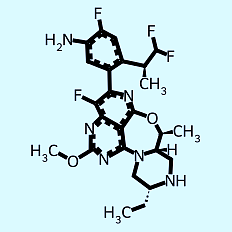 CC[C@@H]1CN2c3nc(OC)nc4c(F)c(-c5cc(N)c(F)cc5[C@H](C)C(F)F)nc(c34)O[C@@H](C)[C@@H]2CN1